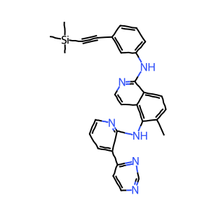 Cc1ccc2c(Nc3cccc(C#C[Si](C)(C)C)c3)nccc2c1Nc1ncccc1-c1ccncn1